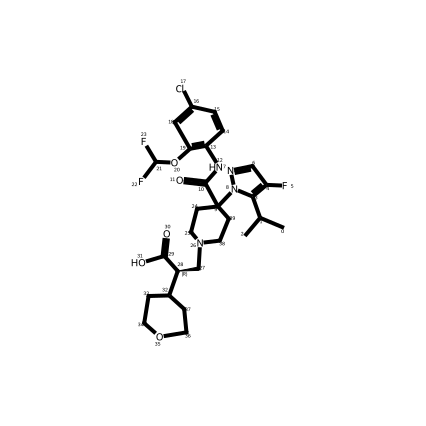 CC(C)c1c(F)cnn1C1(C(=O)Nc2ccc(Cl)cc2OC(F)F)CCN(C[C@H](C(=O)O)C2CCOCC2)CC1